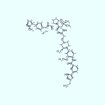 CCc1cc(-c2cccc(C(=O)Nc3ccc(N4CC[C@H](OCC(=O)N[C@H](C(=O)N5CCC[C@H]5C(=O)N[C@H](CF)c5ccc(-c6ccnn6C)cc5)C(C)(C)C)C[C@@H]4C)cc3OC)n2)[nH]n1